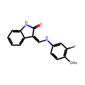 COc1ccc(NC=C2C(=O)Nc3ccccc32)cc1F